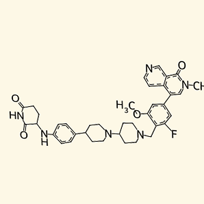 COc1cc(-c2cn(C)c(=O)c3cnccc23)cc(F)c1CN1CCC(N2CCC(c3ccc(NC4CCC(=O)NC4=O)cc3)CC2)CC1